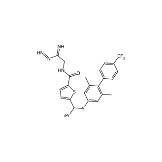 Cc1cc(SC(c2ccc(C(=O)NCC(=N)N=N)s2)C(C)C)cc(C)c1-c1ccc(C(F)(F)F)cc1